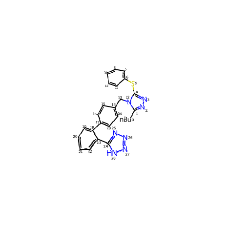 CCCCc1nnc(Sc2ccccc2)n1Cc1ccc(-c2ccccc2-c2nnn[nH]2)cc1